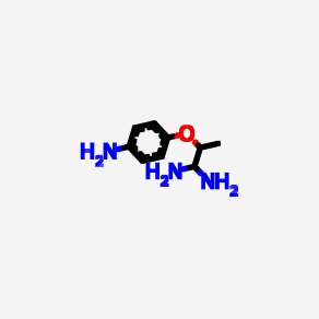 CC(Oc1ccc(N)cc1)C(N)N